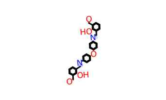 O=Cc1cccc(/C=N/c2ccc(Oc3ccc(/N=C/c4cccc(C=O)c4O)cc3)cc2)c1O